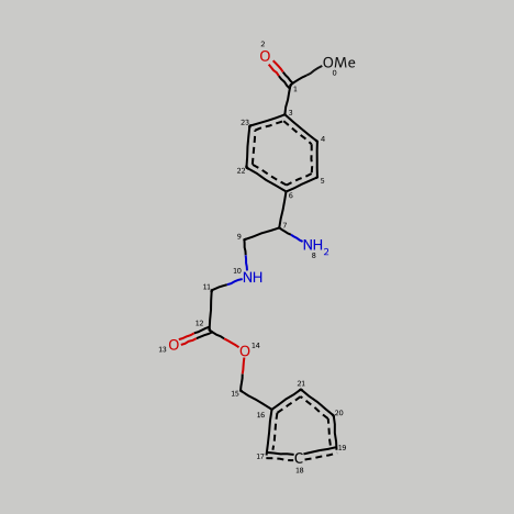 COC(=O)c1ccc(C(N)CNCC(=O)OCc2ccccc2)cc1